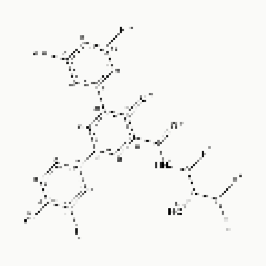 O=C(NC(F)[C@@H](O)C(F)F)c1cc(-c2ccc(Cl)c(F)c2)nn(-c2cc(F)cc(F)c2)c1=O